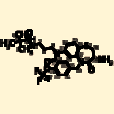 CC(C)(C)C(=O)NCCCN(C=O)c1ccc2c(c1)N(Cc1ccc(OC(F)(F)F)cc1)C(=O)[C@@H](N)CS2